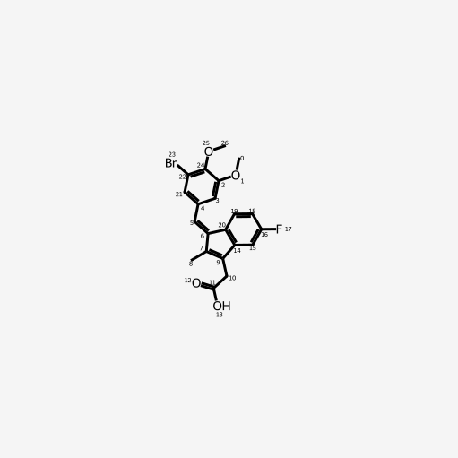 COc1cc(/C=C2/C(C)=C(CC(=O)O)c3cc(F)ccc32)cc(Br)c1OC